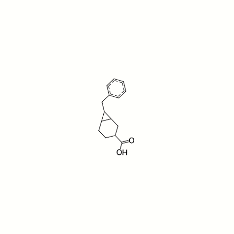 O=C(O)C1CCC2C(Cc3ccccc3)C2C1